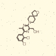 Cc1nc(N2CCC3(CCOC3)CC2)c(CO)nc1-c1cccc(Cl)c1Cl